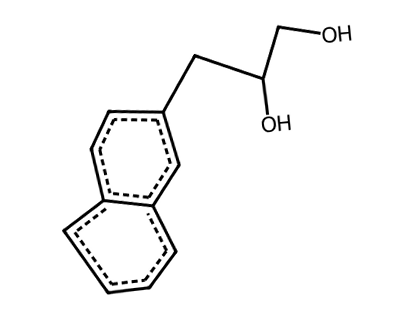 OCC(O)Cc1ccc2ccccc2c1